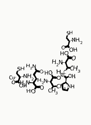 CC(C)[C@H](N)C(=O)O.CC(C)[C@H](N)C(=O)O.NC(=O)CC[C@H](N)C(=O)O.N[C@@H](CS)C(=O)O.N[C@@H](CS)C(=O)O.O=C(O)[C@@H]1CCCN1.[Cu]